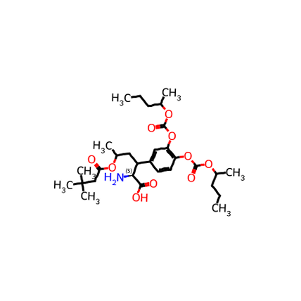 CCCC(C)OC(=O)Oc1ccc(C(CC(C)OC(=O)CC(C)(C)C)[C@H](N)C(=O)O)cc1OC(=O)OC(C)CCC